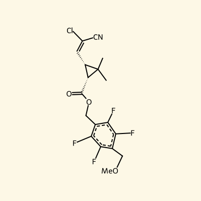 COCc1c(F)c(F)c(COC(=O)[C@@H]2[C@H](/C=C(/Cl)C#N)C2(C)C)c(F)c1F